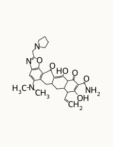 C=CC1C(O)=C(C(N)=O)C(=O)C2C(O)=C3C(=O)c4c(c(N(C)C)cc5nc(CN6CCCC6)oc45)CC3CC12